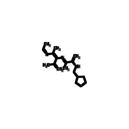 C=C(NCC1CCCC1)/C(C)=N/C(C(=C)C)=C(C)/N=C\C